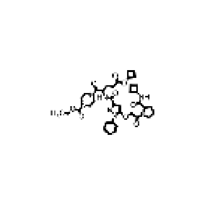 CCOC(=O)N1CCN(C(=O)C(CCC(=O)OC2CCC2)NC(=O)c2cc(OCC(=O)N3CCCC3C(=O)NC3CCC3)n(-c3ccccc3)n2)CC1